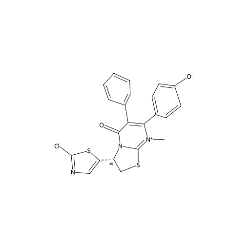 C[n+]1c(-c2ccc([O-])cc2)c(-c2ccccc2)c(=O)n2c1SC[C@@H]2c1cnc(Cl)s1